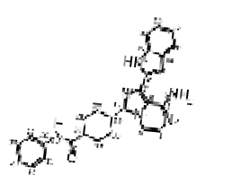 Nc1nccn2c1c(-c1cc3ccccc3[nH]1)nc2[C@H]1CC[C@H](C(=O)Nc2ccccc2)CC1